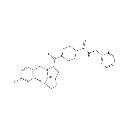 O=C(NCc1ccccn1)C1CCN(C(=O)c2cc3sccc3n2Cc2ccc(F)cc2F)CC1